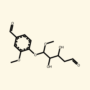 COc1cc(C=O)ccc1OC(OC)C(O)C(O)C[C]=O